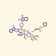 CC(C)(C)OC(=O)[C@@H](CCCCNC(=O)OCc1ccccc1)NC(=O)C(C)(C)c1c[nH]c([C@@H](Cc2c[nH]c3ccccc23)NC(=O)N2CCC(n3c(=O)[nH]c4ccccc43)CC2)n1